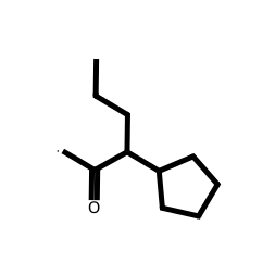 [CH2]C(=O)C(CCC)C1CCCC1